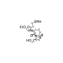 CCOC(=O)C(CCSC)N[C@H]1CCC[C@H]2SC[C@@H](C(=O)O)N2C1=O